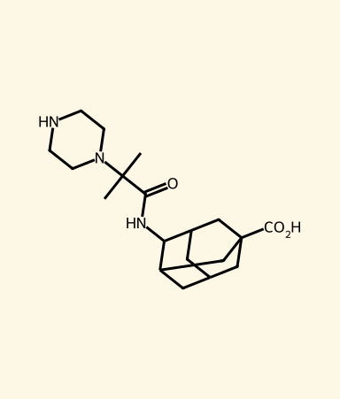 CC(C)(C(=O)NC1C2CC3CC1CC(C(=O)O)(C3)C2)N1CCNCC1